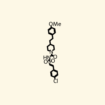 COc1ccc(CCC2CCN(C(=O)NS(=O)(=O)/C=C/c3ccc(Cl)cc3)CC2)cc1